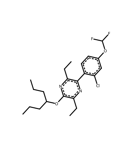 CCCC(CCC)Oc1nc(CC)c(-c2ccc(OC(F)F)cc2Cl)nc1CC